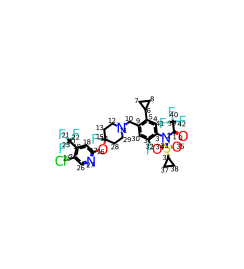 O=C(N(c1cc(C2CC2)c(CN2CCC(F)(Oc3cc(C(F)(F)F)c(Cl)cn3)CC2)cc1F)S(=O)(=O)C1CC1)C(F)(F)F